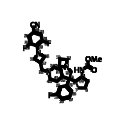 COC(=O)N[C@H]1CCC[C@@H]1[C@](CN1CCC1)(c1cccc(F)c1)C1CCN(CC2CN(c3c(F)cc(C#N)cc3F)C2)CC1